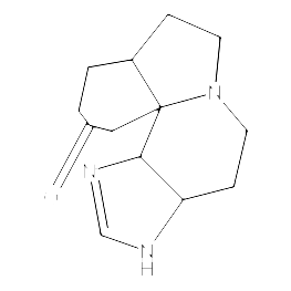 O=C1CCC2CCN3CCC4NC=NC4C23C1